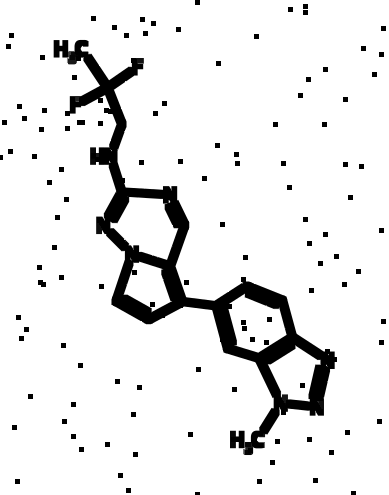 Cn1nnc2ccc(-c3ccn4nc(NCC(C)(F)F)ncc34)cc21